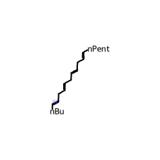 [CH2]CCC/C=C/CC=CCC=CCC=CCCCCC